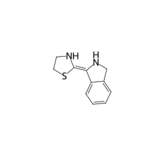 c1ccc2c(c1)CN/C2=C1\NCCS1